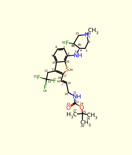 CN1CC[C@@H](Nc2cccc3c(CC(F)(F)F)c(/C=C/CNC(=O)OC(C)(C)C)sc23)[C@@H](F)C1